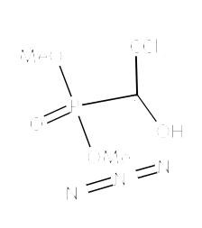 COP(=O)(OC)C(O)C(Cl)(Cl)Cl.[N-]=[N+]=[N-]